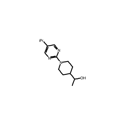 CC(C)c1cnc(N2CCC(C(C)O)CC2)nc1